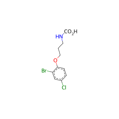 O=C(O)NCCCOc1ccc(Cl)cc1Br